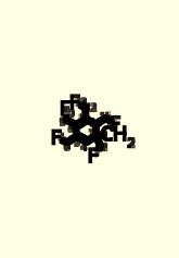 [CH2]C1(CF)C=C(CF)C(CF)=C(CF)C1CF